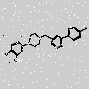 Oc1ccc(N2CCN(Cc3cncc(-c4ccc(F)cc4)c3)CC2)cc1O